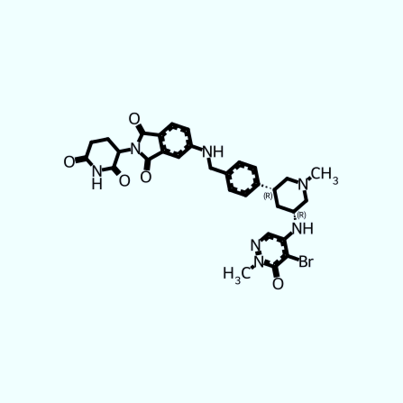 CN1C[C@H](Nc2cnn(C)c(=O)c2Br)C[C@H](c2ccc(CNc3ccc4c(c3)C(=O)N(C3CCC(=O)NC3=O)C4=O)cc2)C1